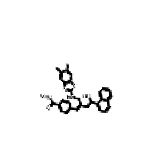 COC(=O)c1ccc(C=C(CNc2nc3cc(C)c(C)cc3s2)CC(O)c2cccc3ccccc23)cc1